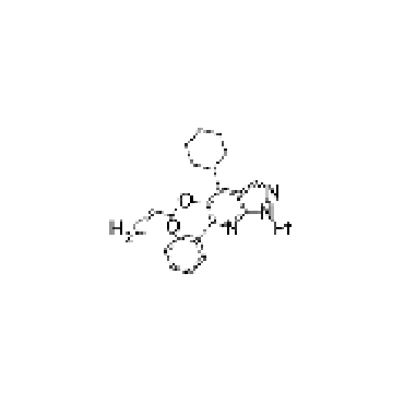 C=CC(=O)Oc1c(-c2ccccc2)nc2c(cnn2CC)c1C1CCCCC1